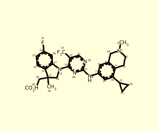 CN1CCc2c(cc(Nc3ncc(C(F)(F)F)c(N4CC(C)(CC(=O)O)c5ccc(F)cc54)n3)cc2C2CC2)C1